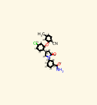 Cc1ccc(C#N)c(Oc2cc(Cl)ccc2[C@H]2CC(=O)N(c3cccc(C(N)=O)c3)C2)c1